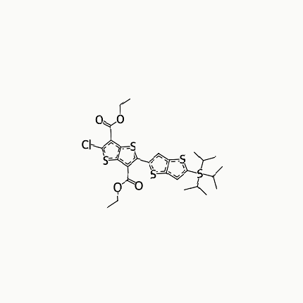 CCOC(=O)c1c(Cl)sc2c(C(=O)OCC)c(-c3cc4sc(S(C(C)C)(C(C)C)C(C)C)cc4s3)sc12